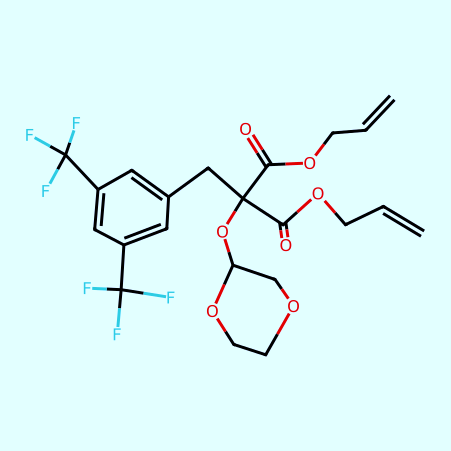 C=CCOC(=O)C(Cc1cc(C(F)(F)F)cc(C(F)(F)F)c1)(OC1COCCO1)C(=O)OCC=C